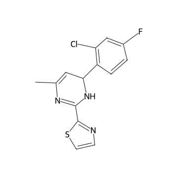 CC1=CC(c2ccc(F)cc2Cl)NC(c2nccs2)=N1